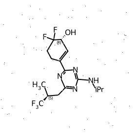 CC(C)Nc1nc(C[C@H](C)C(F)(F)F)nc(C2=C[C@@H](O)C(F)(F)CC2)n1